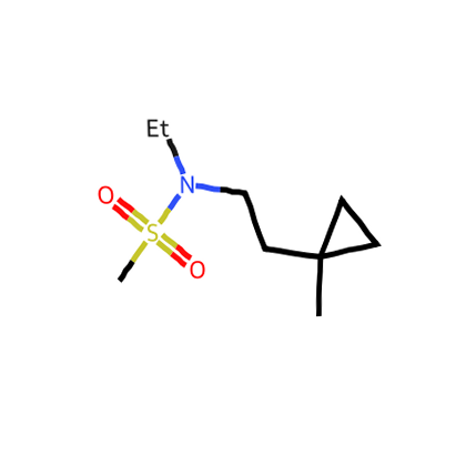 CCN(CCC1(C)CC1)S(C)(=O)=O